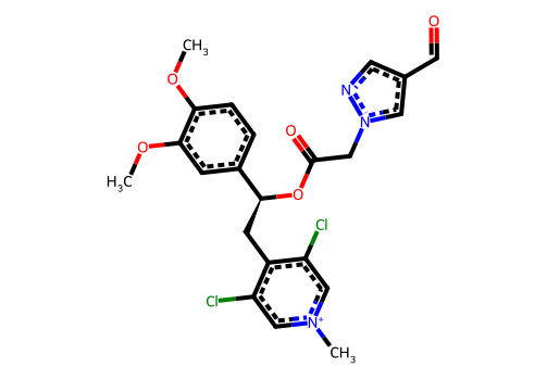 COc1ccc([C@H](Cc2c(Cl)c[n+](C)cc2Cl)OC(=O)Cn2cc(C=O)cn2)cc1OC